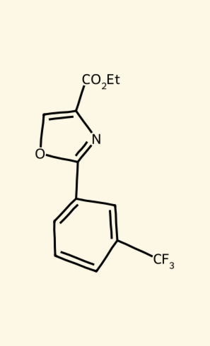 CCOC(=O)c1coc(-c2cccc(C(F)(F)F)c2)n1